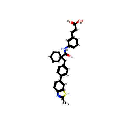 Cc1nc2ccc(-c3ccc(CC4(C(=O)Nc5cccc(/C=C/C(=O)O)c5)CCCCC4)cc3)cc2s1